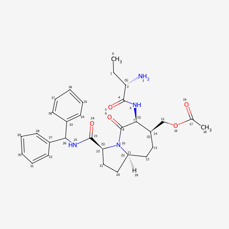 CC[C@H](N)C(=O)N[C@@H]1C(=O)N2[C@@H](CC[C@@H]1COC(C)=O)CC[C@H]2C(=O)NC(c1ccccc1)c1ccccc1